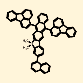 C[Si]1(C)c2cc(-c3cccc4ccccc34)ccc2-c2cc3c(-c4ccc5c6c(cccc46)-c4ccccc4-5)c4ccccc4c(-c4ccc5c6c(cccc46)-c4ccccc4-5)c3cc21